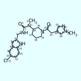 CN(C(=O)NCc1cc2cc(Cl)ccc2[nH]1)C1CCCN(C(=O)Cc2cnn(C)c2)C1